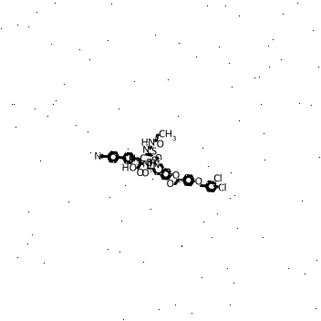 CCC(=O)Nc1nc(C)c(S(=O)(=O)N2Cc3cc4c(cc3C[C@H]2C(=O)NC(Cc2ccc(-c3ccc(C#N)cc3)cc2)C(=O)O)OC[C@H](c2ccc(OCc3ccc(Cl)c(Cl)c3)cc2)O4)s1